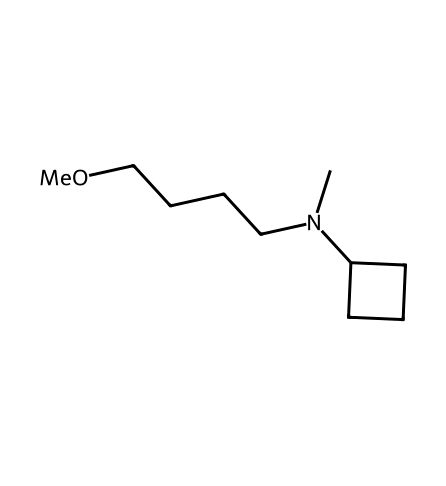 COCCCCN(C)C1CCC1